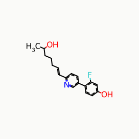 CC(O)CCCC=Cc1ccc(-c2ccc(O)cc2F)cn1